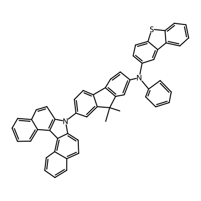 CC1(C)c2cc(N(c3ccccc3)c3ccc4sc5ccccc5c4c3)ccc2-c2ccc(-n3c4ccc5ccccc5c4c4c5ccccc5ccc43)cc21